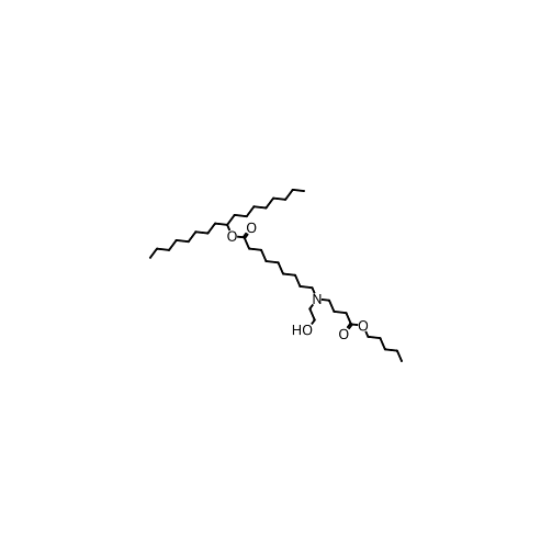 CCCCCCCCC(CCCCCCCC)OC(=O)CCCCCCCCN(CCO)CCCC(=O)OCCCCC